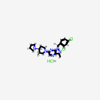 Cc1nn([C@H](C)c2ccc(Cl)cc2Cl)c2nc(N3CC[C@H](N4CCCC4)[C@H](C)C3)cnc12.Cl